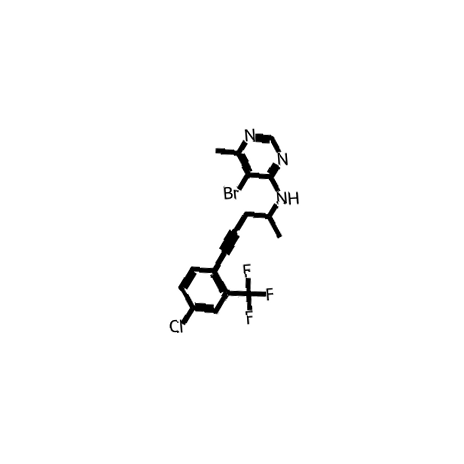 Cc1ncnc(NC(C)CC#Cc2ccc(Cl)cc2C(F)(F)F)c1Br